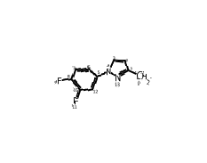 [CH2]c1ccn(-c2ccc(F)c(F)c2)n1